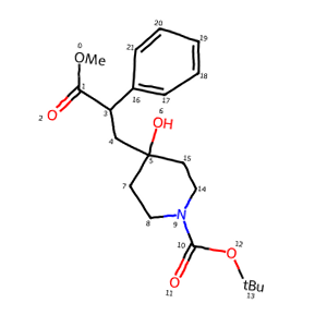 COC(=O)C(CC1(O)CCN(C(=O)OC(C)(C)C)CC1)c1ccccc1